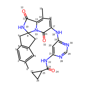 Cc1ccc2c(c1)CC1(C2)NC(=O)c2c(C)cc(Nc3cc(NC(=O)C4CC4)ncn3)c(=O)n21